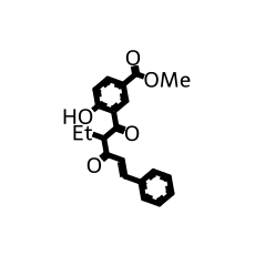 CCC(C(=O)/C=C/c1ccccc1)C(=O)c1cc(C(=O)OC)ccc1O